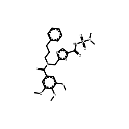 COc1cc(C(=O)N(CCCc2ccccc2)Cc2nc(C(=O)NS(=O)(=O)N(C)C)cs2)cc(OC)c1OC